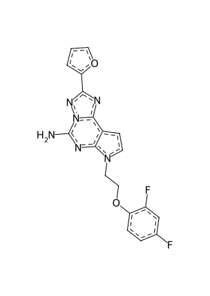 Nc1nc2c(ccn2CCOc2ccc(F)cc2F)c2nc(-c3ccco3)nn12